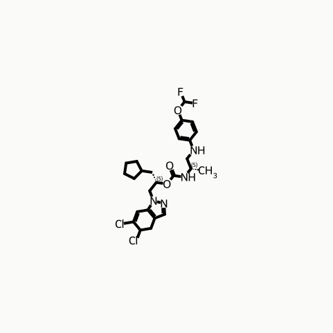 C[C@@H](CNc1ccc(OC(F)F)cc1)NC(=O)O[C@@H](CC1CCCC1)Cn1ncc2c1C=C(Cl)C(Cl)C2